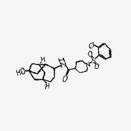 O=C(NC1CC[C@H]2C[C@@H]3CC(O)(CC13)C2)C1CCN(S(=O)(=O)c2ccccc2Cl)CC1